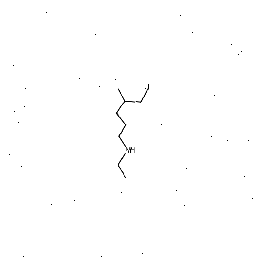 CCNCCCC(C)CI